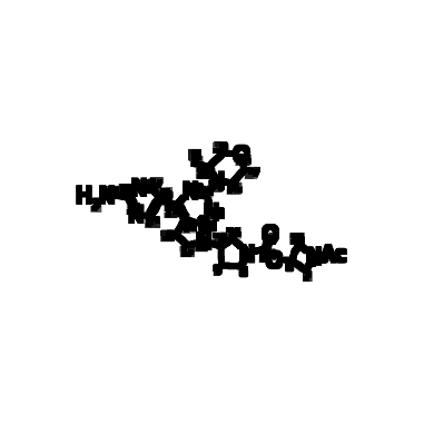 CC(=O)N1CC(OC(=O)N2CC[C@@H](N3CCc4c(-c5cnc(N)nc5)nc(N5CCOC[C@@H]5C)nc43)C2)C1